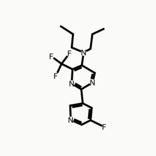 CCCN(CCC)c1cnc(-c2cncc(F)c2)nc1C(F)(F)F